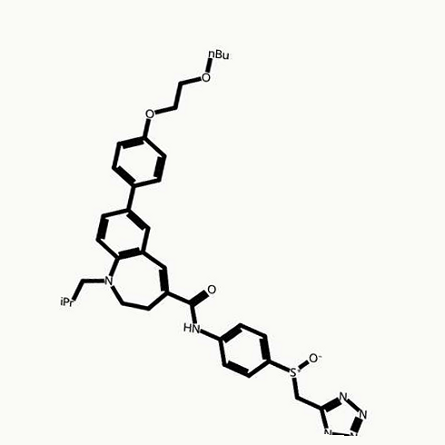 CCCCOCCOc1ccc(-c2ccc3c(c2)C=C(C(=O)Nc2ccc([S+]([O-])Cc4nnnn4C)cc2)CCN3CC(C)C)cc1